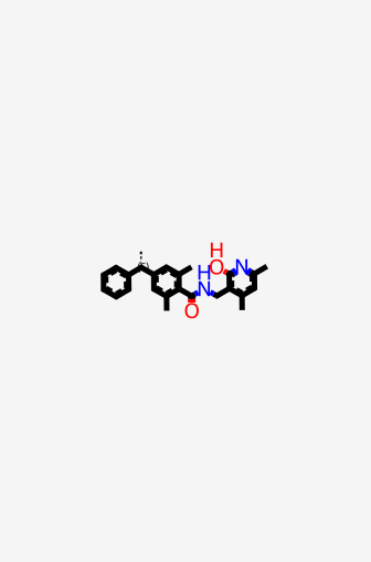 Cc1cc(C)c(CNC(=O)c2c(C)cc([C@@H](C)c3ccccc3)cc2C)c(O)n1